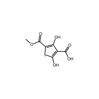 COC(=O)c1sc(O)c(C(=O)O)c1O